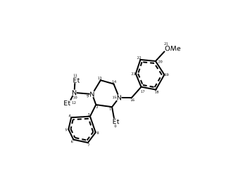 CCC1C(c2ccccc2)N(N(CC)CC)CCN1Cc1ccc(OC)cc1